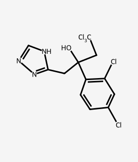 OC(Cc1nnc[nH]1)(CC(Cl)(Cl)Cl)c1ccc(Cl)cc1Cl